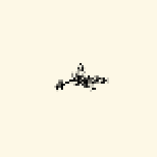 CC(C)[C@@H](NC(=O)[C@@H](C)NC(=O)[C@@H](Cc1cscn1)NC(=O)C[C@H](O)CCCCC(=O)OC(C)(C)C)[C@@H](O)CC(=O)O